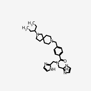 CCC(CC)N1CCC2(CCN(Cc3ccc(C(=O)N(Cc4ncc[nH]4)Cc4ncc[nH]4)cc3)CC2)C1